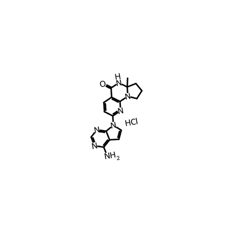 CC12CCCN1c1nc(-n3ccc4c(N)ncnc43)ccc1C(=O)N2.Cl